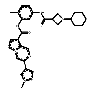 Cc1ccc(NC(=O)C2CN(C3CCCCC3)C2)cc1NC(=O)c1cnn2cc(-c3cnn(C)c3)ncc12